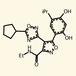 CCNC(=O)c1noc(-c2cc(C(C)C)c(O)cc2O)c1-c1noc(C2CCCC2)n1